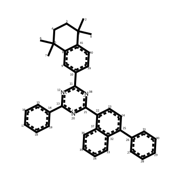 CC1(C)CCC(C)(C)c2cc(-c3nc(-c4ccccc4)nc(-c4ccc(-c5ccccc5)c5ccccc45)n3)ccc21